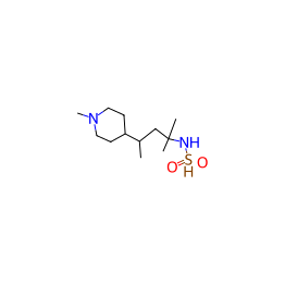 CC(CC(C)(C)N[SH](=O)=O)C1CCN(C)CC1